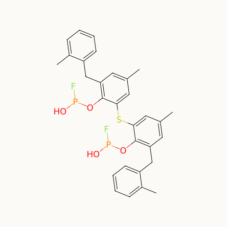 Cc1cc(Cc2ccccc2C)c(OP(O)F)c(Sc2cc(C)cc(Cc3ccccc3C)c2OP(O)F)c1